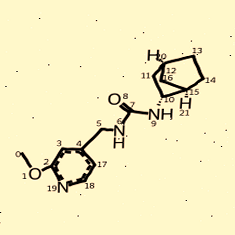 COc1cc(CNC(=O)N[C@@H]2C[C@H]3CC[C@@H]2C3)ccn1